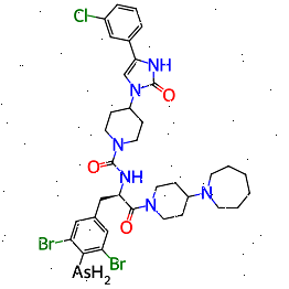 O=C(N[C@H](Cc1cc(Br)c([AsH2])c(Br)c1)C(=O)N1CCC(N2CCCCCC2)CC1)N1CCC(n2cc(-c3cccc(Cl)c3)[nH]c2=O)CC1